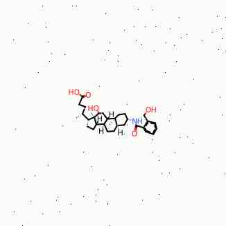 C[C@H](CCC(=O)O)[C@H]1CC[C@H]2[C@@H]3CC[C@@H]4C[C@@H](NC(=O)c5ccccc5CO)CC[C@]4(C)[C@H]3C[C@H](O)[C@]12C